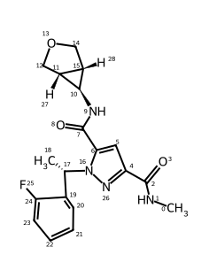 CNC(=O)c1cc(C(=O)N[C@H]2[C@@H]3COC[C@@H]32)n([C@@H](C)c2ccccc2F)n1